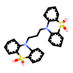 O=S1(=O)c2ccccc2N(CCCN2c3ccccc3S(=O)(=O)c3ccccc32)c2ccccc21